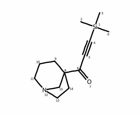 C[Si](C)(C)C#CC(=O)C12CCCN(CC1)C2